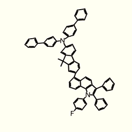 CC1(C)c2cc(-c3cccc4c3ccc3c(-c5ccccc5)c(-c5ccccc5)n(-c5ccc(F)cc5)c34)ccc2-c2ccc(N(c3ccc(-c4ccccc4)cc3)c3ccc(-c4ccccc4)cc3)cc21